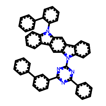 c1ccc(-c2cccc(-c3nc(-c4ccccc4)nc(-n4c5ccccc5c5cc6c(cc54)c4ccccc4n6-c4ccccc4-c4ccccc4)n3)c2)cc1